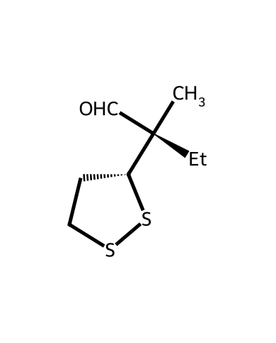 CC[C@](C)(C=O)[C@H]1CCSS1